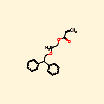 C=CC(=O)OC[SiH2]OCC(c1ccccc1)c1ccccc1